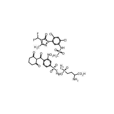 CP(=O)(O)CCC(N)C(=O)O.CS(=O)(=O)c1ccc(C(=O)C2C(=O)CCCC2=O)c([N+](=O)[O-])c1.Cc1nn(-c2cc(NS(C)(=O)=O)c(Cl)cc2Cl)c(=O)n1C(F)F